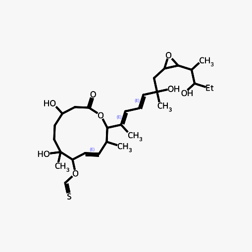 CCC(O)C(C)C1OC1CC(C)(O)/C=C/C=C(\C)C1OC(=O)CC(O)CCC(C)(O)C(OC=S)/C=C/C1C